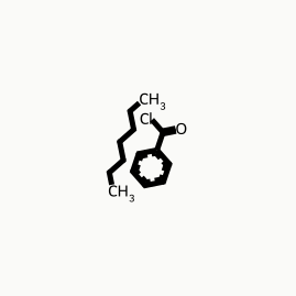 CCCCCCC.O=C(Cl)c1ccccc1